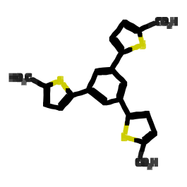 O=C(O)c1ccc(-c2cc(-c3ccc(C(=O)O)s3)cc(-c3ccc(C(=O)O)s3)c2)s1